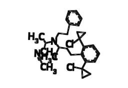 CC#N.CC(C)N(CCc1ccccc1)C(C)CCc1c(C2(Cl)CC2)cccc1C1(Cl)CC1